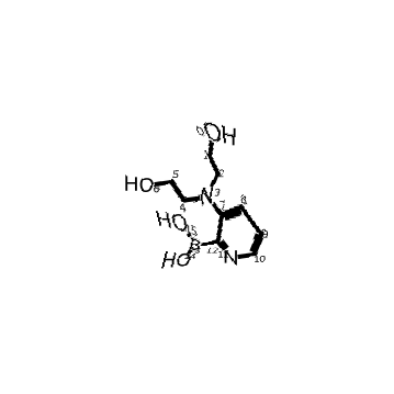 OCCN(CCO)c1cccnc1B(O)O